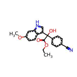 CCOC(=O)C(O)(c1ccc(C#N)cc1)c1c[nH]c2cc(OC)ccc12